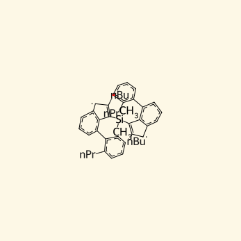 CCCCC1=C([Si](C)(C)C2=C(CCCC)[CH]c3cccc(-c4ccccc4CCC)c32)c2c(cccc2-c2ccccc2CCC)[CH]1